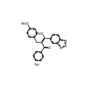 COc1ccc(CC(C(=O)c2ccccc2)=C(C(=O)[O-])c2ccc3nsnc3c2)cc1.[Na+]